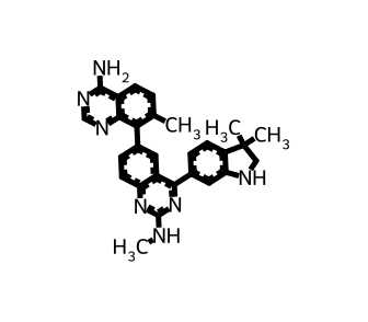 CNc1nc(-c2ccc3c(c2)NCC3(C)C)c2cc(-c3c(C)ccc4c(N)ncnc34)ccc2n1